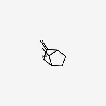 C[C@@H]1C2CCC1C(=O)C2